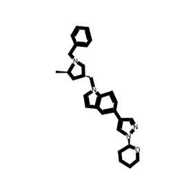 C[C@@H]1C[C@@H](Cn2ccc3cc(-c4cnn([C@@H]5CCCCO5)c4)ccc32)CN1Cc1ccccc1